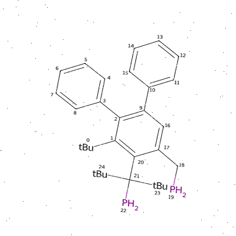 CC(C)(C)c1c(-c2ccccc2)c(-c2ccccc2)cc(CP)c1C(P)(C(C)(C)C)C(C)(C)C